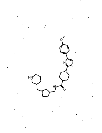 COc1ccc(-c2noc(N3CCC(C(=O)NCC4CCN(C[C@@H]5CCCNC5)C4)CC3)n2)cc1